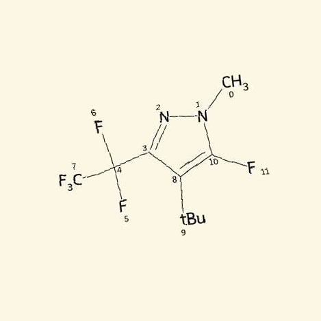 Cn1nc(C(F)(F)C(F)(F)F)c(C(C)(C)C)c1F